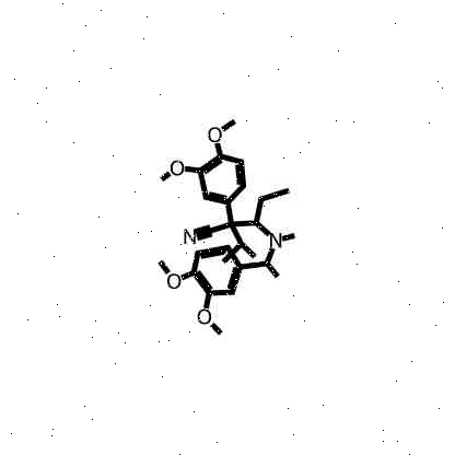 CCC(N(C)C(C)c1ccc(OC)c(OC)c1)C(C#N)(c1ccc(OC)c(OC)c1)C(C)C